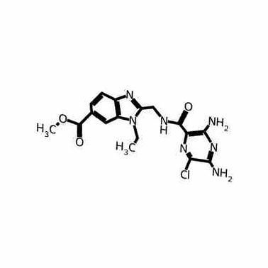 CCn1c(CNC(=O)c2nc(Cl)c(N)nc2N)nc2ccc(C(=O)OC)cc21